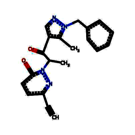 C#Cc1ccc(=O)n(C(C)C(=O)c2cnn(Cc3ccccc3)c2C)n1